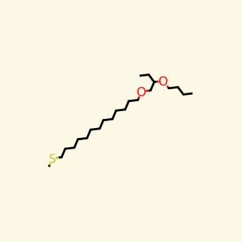 CCCCOC(CC)COCCCCCCCCCCCCCSC